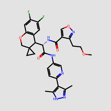 COCCc1nocc1C(=O)N[C@H](C(=O)Nc1ccc(-c2c(C)n[nH]c2C)nc1)C1c2cc(F)c(F)cc2OCC12CC2